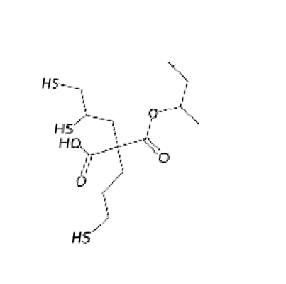 CCC(C)OC(=O)C(CCCS)(CC(S)CS)C(=O)O